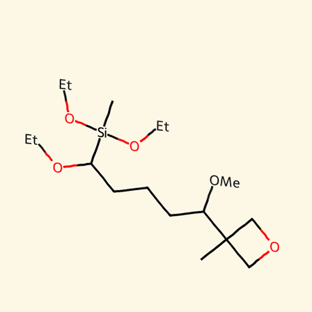 CCOC(CCCC(OC)C1(C)COC1)[Si](C)(OCC)OCC